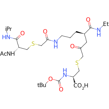 CCNC(=O)[C@H](CCCNC(=O)CSC[C@H](NC(C)=O)C(=O)NC(C)C)CC(=O)CSC[C@H](NC(=O)OC(C)(C)C)C(=O)O